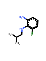 CC(C)CNc1c(N)cccc1Cl